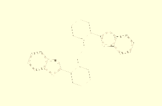 c1ccc2sc(C3COCCN3SSN3CCOCC3c3nc4ccccc4s3)nc2c1